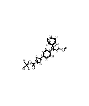 COCCN(c1ccc(C2CN(C(=O)OC(C)(C)C)C2)cc1)c1cccnc1